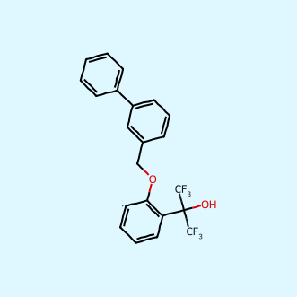 OC(c1ccc[c]c1OCc1cccc(-c2ccccc2)c1)(C(F)(F)F)C(F)(F)F